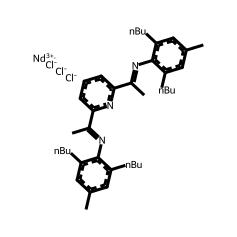 CCCCc1cc(C)cc(CCCC)c1N=C(C)c1cccc(C(C)=Nc2c(CCCC)cc(C)cc2CCCC)n1.[Cl-].[Cl-].[Cl-].[Nd+3]